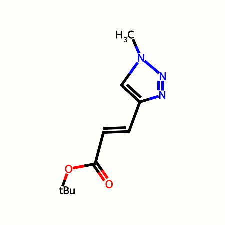 Cn1cc(/C=C/C(=O)OC(C)(C)C)nn1